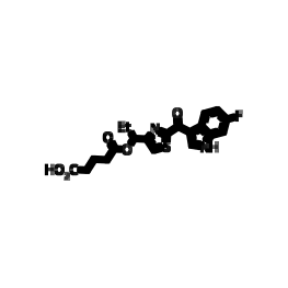 CCC(OC(=O)CCCC(=O)O)c1csc(C(=O)c2c[nH]c3cc(F)ccc23)n1